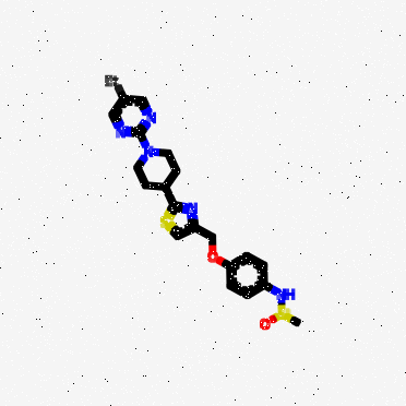 CCc1cnc(N2CCC(c3nc(COc4ccc(N[S+](C)[O-])cc4)cs3)CC2)nc1